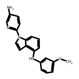 COc1cccc(Nc2cccc3c2ccn3-c2ccc(N)cn2)c1